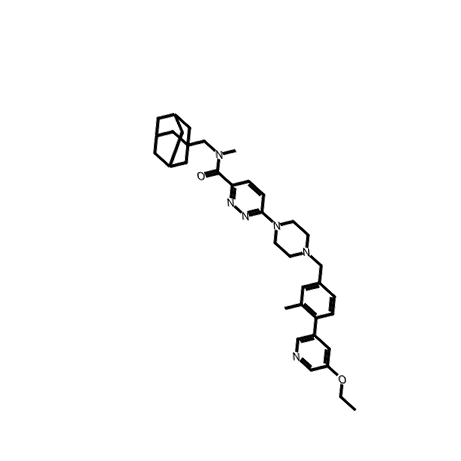 CCOc1cncc(-c2ccc(CN3CCN(c4ccc(C(=O)N(C)CC56CC7CC(CC(C7)C5)C6)nn4)CC3)cc2C)c1